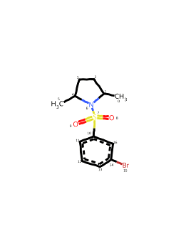 CC1CCC(C)N1S(=O)(=O)c1cccc(Br)c1